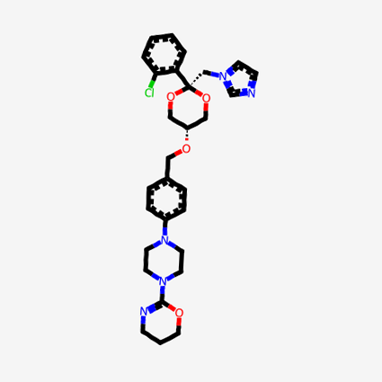 Clc1ccccc1[C@]1(Cn2ccnc2)OC[C@@H](OCc2ccc(N3CCN(C4=NCCCO4)CC3)cc2)CO1